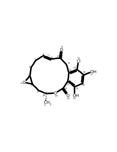 C[C@@H]1CC2OC2CC/C=C/C(=O)Cc2c(Cl)c(O)cc(O)c2C(=O)O1